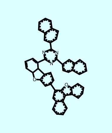 C1=CC2Oc3cc(-c4cc5ccccc5c5c4oc4ccccc45)ccc3C2C(c2nc(-c3ccc4ccccc4c3)nc(-c3ccc4ccccc4c3)n2)=C1